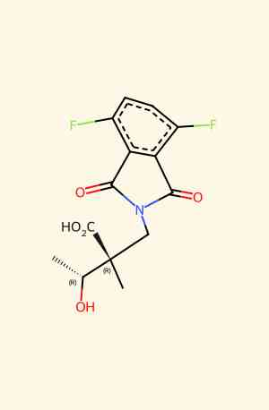 C[C@@H](O)[C@@](C)(CN1C(=O)c2c(F)ccc(F)c2C1=O)C(=O)O